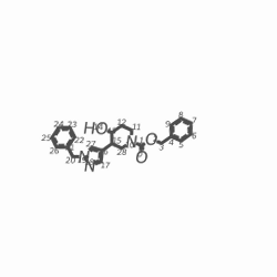 O=C(OCc1ccccc1)N1CCC(O)C(c2cnn(Cc3ccccc3)c2)C1